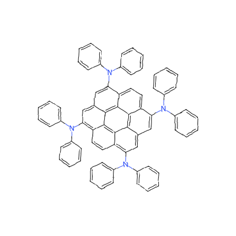 c1ccc(N(c2ccccc2)c2cc3cc(N(c4ccccc4)c4ccccc4)c4ccc5c(N(c6ccccc6)c6ccccc6)cc6cc(N(c7ccccc7)c7ccccc7)c7ccc2c2c3c4c5c6c72)cc1